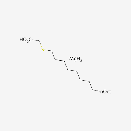 CCCCCCCCCCCCCCCCSCC(=O)O.[MgH2]